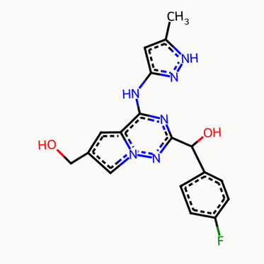 Cc1cc(Nc2nc(C(O)c3ccc(F)cc3)nn3cc(CO)cc23)n[nH]1